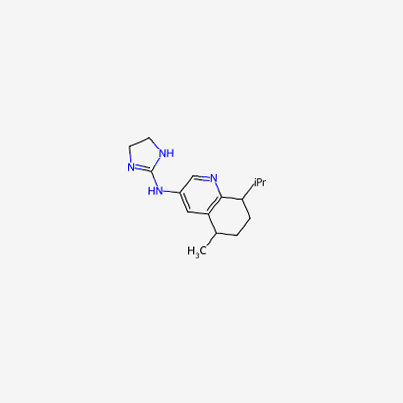 CC1CCC(C(C)C)c2ncc(NC3=NCCN3)cc21